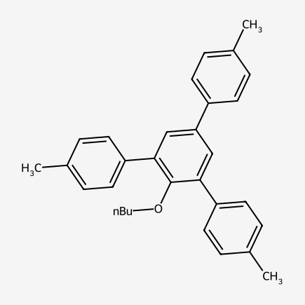 CCCCOc1c(-c2ccc(C)cc2)cc(-c2ccc(C)cc2)cc1-c1ccc(C)cc1